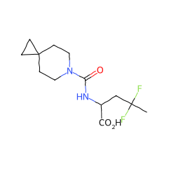 CC(F)(F)CC(NC(=O)N1CCC2(CC1)CC2)C(=O)O